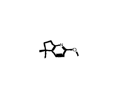 COc1ccc2c(n1)CCC2(C)C